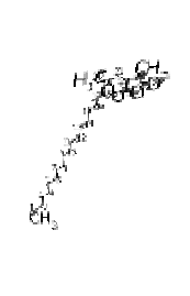 CCCCCCCCCCCCCCCCCCOC(C)CC1C(=O)OC(=O)C1C